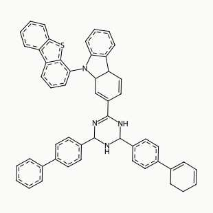 C1=CCCC(c2ccc(C3NC(C4=CC5C(C=C4)c4ccccc4N5c4cccc5c4sc4ccccc45)=NC(c4ccc(-c5ccccc5)cc4)N3)cc2)=C1